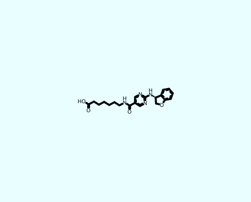 O=C(O)CCCCCCNC(=O)c1cnc(N[C@@H]2COc3ccccc32)nc1